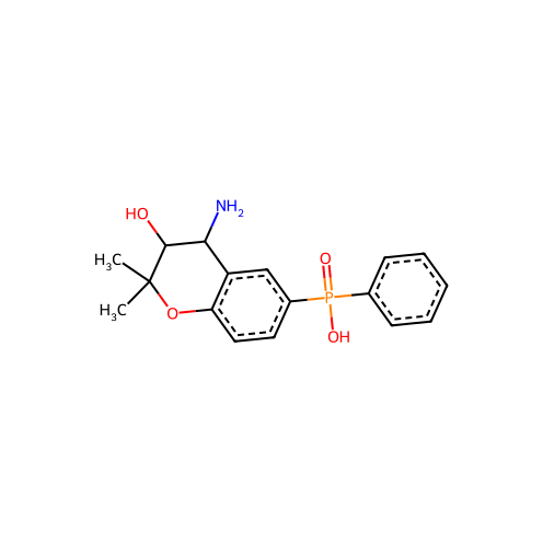 CC1(C)Oc2ccc(P(=O)(O)c3ccccc3)cc2C(N)C1O